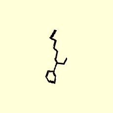 C=CCCCCC(CC)c1ccccc1